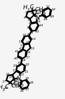 CC1(C)CCC2c3cc(-c4ccc5c(c4)Cc4cc(-c6ccc7c(c6)C6CCC(C)(C)C6(C)N7c6ccccc6)ccc4-5)ccc3N(c3ccccc3)C21C